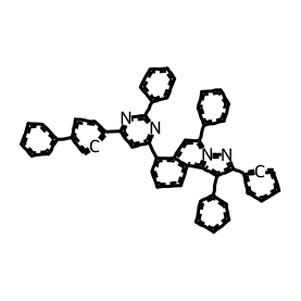 c1ccc(-c2ccc(-c3cc(-c4cccc5c4cc(-c4ccccc4)n4nc(-c6ccccc6)c(-c6ccccc6)c54)nc(-c4ccccc4)n3)cc2)cc1